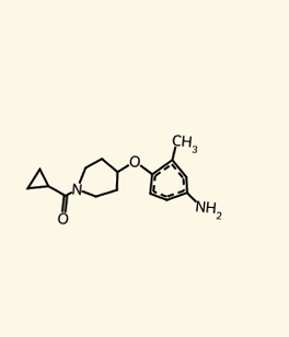 Cc1cc(N)ccc1OC1CCN(C(=O)C2CC2)CC1